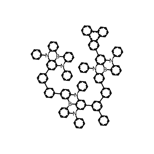 c1ccc(-c2cc(-c3cccc(-c4ccc5c(c4)B4c6ccccc6N(c6ccccc6)c6cc(-c7ccc8c9ccccc9c9ccccc9c8c7)cc(c64)N5c4ccccc4)c3)cc(-c3cc4c5c(c3)N(c3ccccc3)c3ccc(-c6cccc(-c7cccc(-c8cc9c%10c(c8)N(c8ccccc8)c8ccccc8B%10c8ccccc8N9c8ccccc8)c7)c6)cc3B5c3ccccc3N4c3ccccc3)c2)cc1